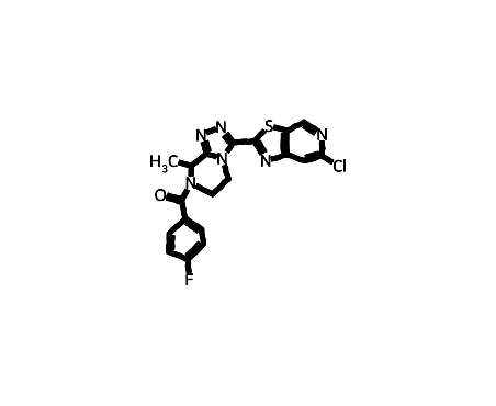 CC1c2nnc(-c3nc4cc(Cl)ncc4s3)n2CCN1C(=O)c1ccc(F)cc1